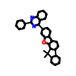 CC1(C)c2ccccc2-c2ccc3c(oc4cc(-c5nc(-c6ccccc6)nc6ccccc56)ccc43)c21